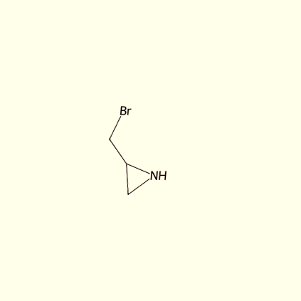 BrCC1CN1